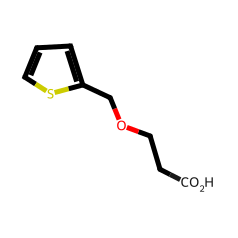 O=C(O)CCOCc1cccs1